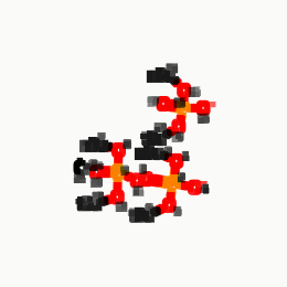 CCCCOP(=O)([O-])OC(C)(C)C.CCCCOP(=O)([O-])OC(C)(C)C.CCCCOP(=O)([O-])OC(C)(C)C.[Cr+3]